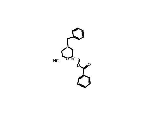 Cl.O=C(OC[C@H]1CN(Cc2ccccc2)CCO1)c1ccccc1